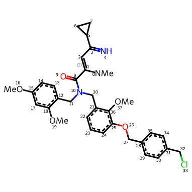 CN/C(=C\C(=N)C1CC1)C(=O)N(Cc1ccc(OC)cc1OC)Cc1cccc(OCc2ccc(CCl)cc2)c1OC